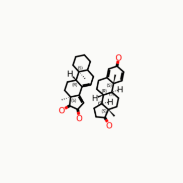 C[C@]12C=CC(=O)C=C1CC[C@@H]1[C@@H]2CC[C@]2(C)C(=O)CC[C@@H]12.C[C@]12CC[C@H]3C(=CCC4CCCC[C@@]43C)C1=CC(=O)C2=O